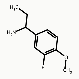 CCC(N)c1ccc(OC)c(F)c1